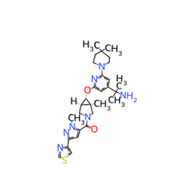 Cn1nc(-c2cscn2)cc1C(=O)N1C[C@H]2[C@H](Oc3cc(C(C)(C)N)cc(N4CCC(C)(C)CC4)n3)[C@@]2(C)C1